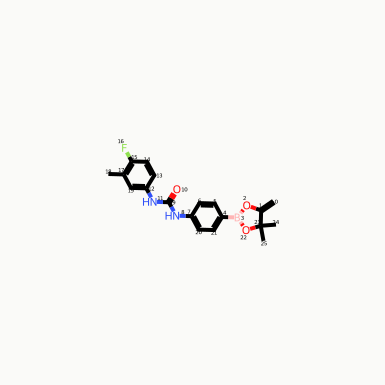 C=C1OB(c2ccc(NC(=O)Nc3ccc(F)c(C)c3)cc2)OC1(C)C